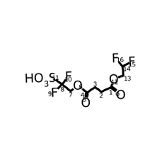 O=C(CCC(=O)OCC(F)(F)S(=O)(=O)O)OCC(F)F